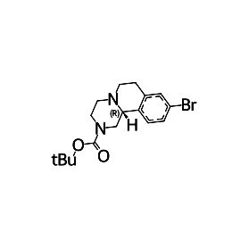 CC(C)(C)OC(=O)N1CCN2CCc3cc(Br)ccc3[C@@H]2C1